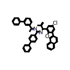 C=C(C)C(/N=C(\N=C(/C)c1cccc(-c2ccccc2)c1)c1ccc(-c2ccccc2)cc1)c1cc(Cl)cc2c1oc1c3ccccc3ccc21